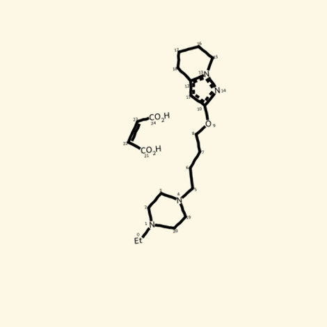 CCN1CCN(CCCCOc2cc3n(n2)CCCC3)CC1.O=C(O)/C=C\C(=O)O